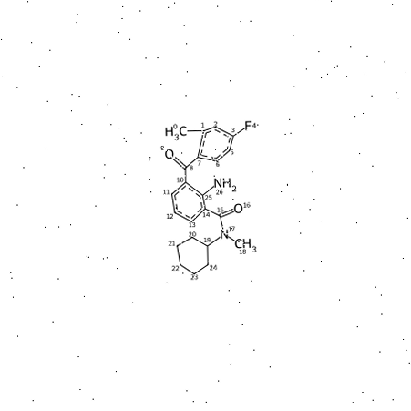 Cc1cc(F)ccc1C(=O)c1cccc(C(=O)N(C)C2CCCCC2)c1N